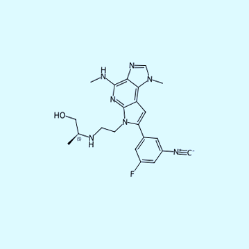 [C-]#[N+]c1cc(F)cc(-c2cc3c4c(ncn4C)c(NC)nc3n2CCN[C@@H](C)CO)c1